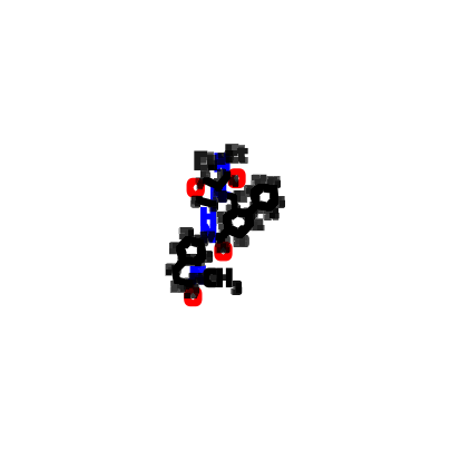 CCN(CC)C(=O)C1COCCN1Cc1cc(C(=O)Nc2ccc3c(c2)N(C)C(=O)CC3)ccc1-c1ccccc1